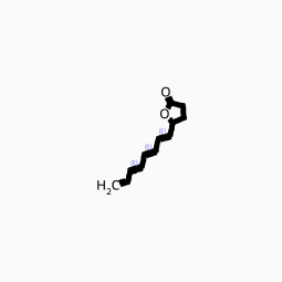 C=C/C=C/C=C/C=C/C1CCC(=O)O1